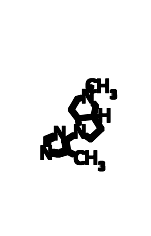 Cc1cncnc1N1CC[C@@H]2CN(C)CCC21